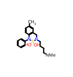 CNCCCCN1Cc2cc(C)ccc2N(c2ccccc2)S1(O)O